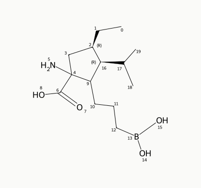 CC[C@@H]1CC(N)(C(=O)O)C(CCCB(O)O)[C@@H]1C(C)C